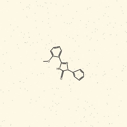 COc1ccccc1-c1nn(-c2ccccc2)c(=O)[nH]1